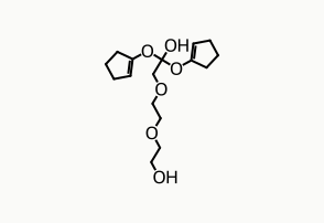 OCCOCCOCC(O)(OC1=CCCC1)OC1=CCCC1